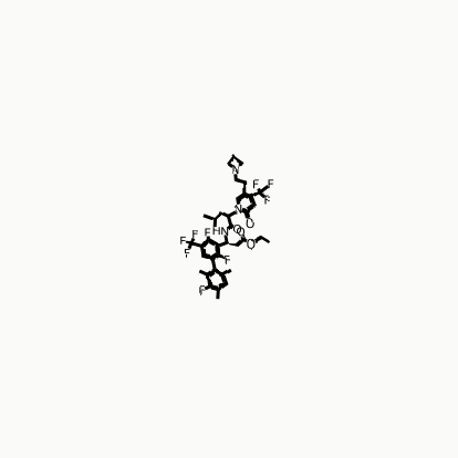 CCOC(=O)C[C@H](NC(=O)C(CC(C)C)n1cc(CCN2CCC2)c(C(F)(F)F)cc1=O)c1c(F)c(-c2c(C)cc(C)c(F)c2C)cc(C(F)(F)F)c1F